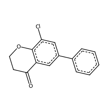 O=C1CCOc2c(Cl)cc(-c3ccccc3)cc21